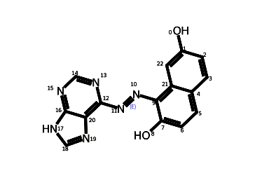 Oc1ccc2ccc(O)c(/N=N/c3ncnc4[nH]cnc34)c2c1